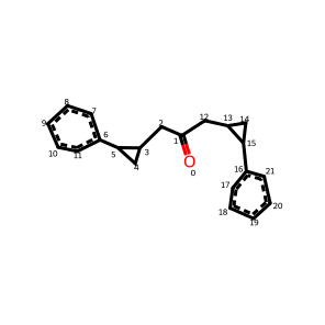 O=C(CC1CC1c1ccccc1)CC1CC1c1ccccc1